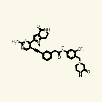 Cn1c(-c2nc(N)ncc2C#Cc2cccc(CC(=O)Nc3ccc(CN4CCNC(=O)C4)c(C(F)(F)F)c3)c2)cc2c1CCNC2=O